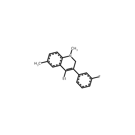 CCC1=C(c2cccc(F)c2)CN(C)c2ccc(C)cc21